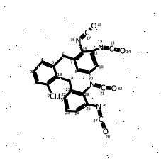 Cc1cccc(Cc2cccc(N=C=O)c2N=C=O)c1Cc1cccc(N=C=O)c1N=C=O